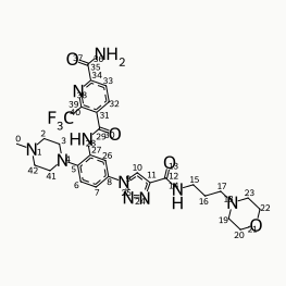 CN1CCN(c2ccc(-n3cc(C(=O)NCCCN4CCOCC4)nn3)cc2NC(=O)c2ccc(C(N)=O)nc2C(F)(F)F)CC1